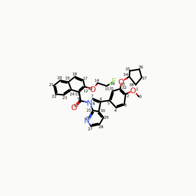 COc1ccc(-c2cn(C(=O)c3c(OCCF)ccc4ccccc34)c3ncccc23)cc1OC1CCCC1